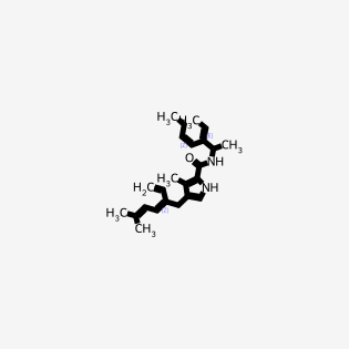 C=C/C(=C\C=C(C)C)Cc1c[nH]c(C(=O)NC(C)C(/C=C\CC)=C/C)c1C